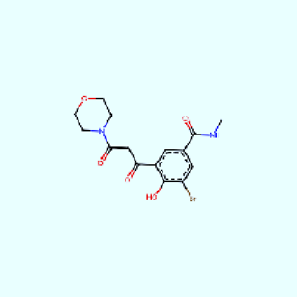 CNC(=O)c1cc(Br)c(O)c(C(=O)CC(=O)N2CCOCC2)c1